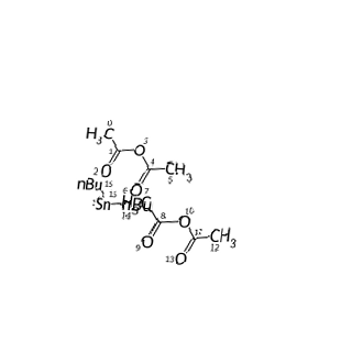 CC(=O)OC(C)=O.CC(=O)OC(C)=O.CCC[CH2][Sn][CH2]CCC